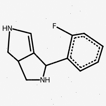 Fc1ccccc1C1NCC2CNC=C21